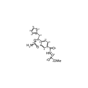 COC(=O)ONC(=O)c1ccc(C(Cc2cccs2)OC(N)=O)cc1